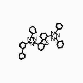 C1=CC(c2nc(-c3cccc(-c4ccccc4)c3)nc(-c3cccc4sc5c(-c6nc(-c7ccccc7)nc(-c7ccccc7)n6)cccc5c34)n2)=CCC1